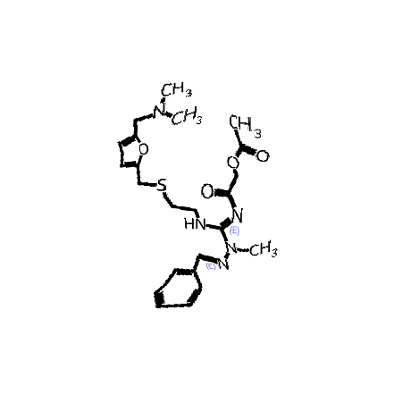 CC(=O)OCC(=O)/N=C(\NCCSCc1ccc(CN(C)C)o1)N(C)/N=C/c1ccccc1